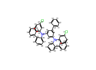 Clc1cccc(N(c2cc(-c3ccccc3)cc(N(c3cccc(Cl)c3)c3ccccc3-c3ccccc3)c2)c2ccccc2-c2ccccc2)c1